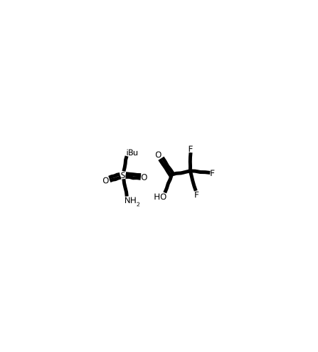 CCC(C)S(N)(=O)=O.O=C(O)C(F)(F)F